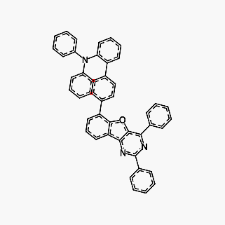 c1ccc(-c2nc(-c3ccccc3)c3oc4c(-c5ccc(-c6ccccc6N(c6ccccc6)c6ccccc6)cc5)cccc4c3n2)cc1